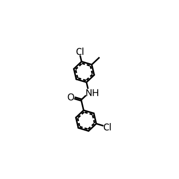 Cc1cc(NC(=O)c2cccc(Cl)c2)ccc1Cl